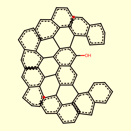 Oc1c(-c2cccc3ccccc23)c(-c2cccc3ccccc23)c(-c2cccc3ccccc23)c2c(-c3cccc4ccccc34)c(-c3cccc4ccccc34)c(-c3cccc4ccccc34)cc12